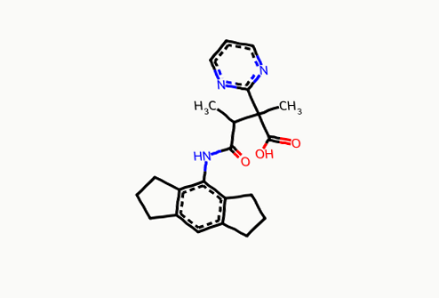 CC(C(=O)Nc1c2c(cc3c1CCC3)CCC2)C(C)(C(=O)O)c1ncccn1